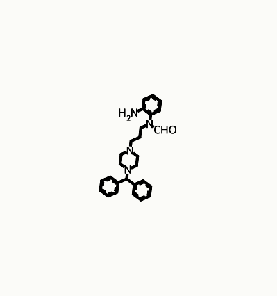 Nc1ccccc1N(C=O)CCCN1CCN(C(c2ccccc2)c2ccccc2)CC1